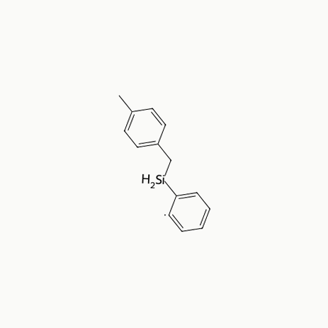 Cc1ccc(C[SiH2]c2[c]cccc2)cc1